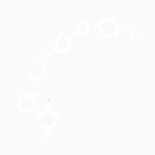 CCCc1ccc(C)cc1N1CCS/C1=N\C(=O)NC1CC1c1ccc(-c2ncn(-c3ccc(OC(F)(F)F)cc3)n2)cc1